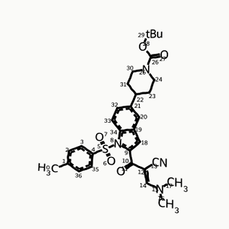 Cc1ccc(S(=O)(=O)n2c(C(=O)C(C#N)=CN(C)C)cc3cc(C4CCN(C(=O)OC(C)(C)C)CC4)ccc32)cc1